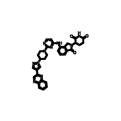 O=C1CCC(N2Cc3c(Nc4ccnc(N5CCC(n6cc(-c7cnc8ccccc8n7)cn6)CC5)n4)cccc3C2=O)C(=O)N1